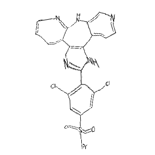 CC(C)S(=O)(=O)c1cc(Cl)c(-c2nc3c([nH]2)-c2ccncc2Nc2ncccc2-3)c(Cl)c1